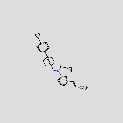 O=C(O)/C=C/c1cccc(N(CC23CCC(c4ccc(C5CC5)cc4)(CC2)CC3)C(=O)C2CC2)c1